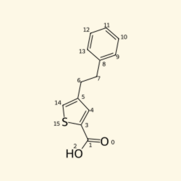 O=C(O)c1cc(CCc2ccccc2)cs1